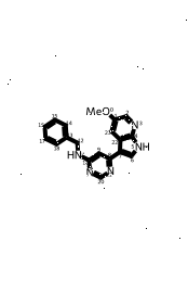 COc1cnc2[nH]cc(-c3cc(NCc4ccccc4)ncn3)c2c1